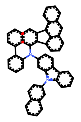 c1ccc(-c2ccccc2N(c2ccc3c4ccccc4n(-c4ccc5ccccc5c4)c3c2)c2cccc3c2-c2cccc4cc5ccccc5c-3c24)cc1